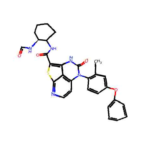 Cc1cc(Oc2ccccc2)ccc1N1C(=O)Nc2c(C(=O)NC3CCCC[C@@H]3NC=O)sc3nccc1c23